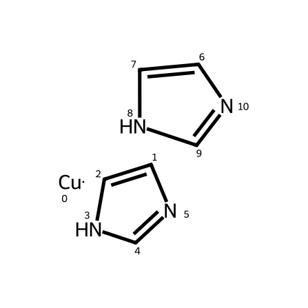 [Cu].c1c[nH]cn1.c1c[nH]cn1